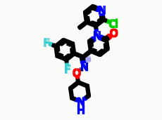 Cc1ccnc(Cl)c1-n1cc(/C(=N/OC2CCNCC2)c2ccc(F)cc2F)ccc1=O